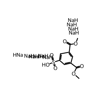 COC(=O)c1cc(C(=O)OC)cc(S(=O)(=O)O)c1.[NaH].[NaH].[NaH].[NaH].[NaH].[NaH].[NaH].[NaH].[NaH].[NaH]